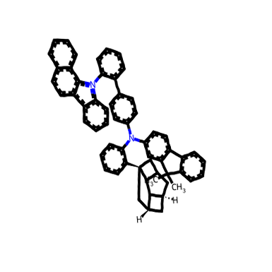 CC1(C)c2ccccc2-c2ccc(N(c3ccc(-c4ccccc4-n4c5ccccc5c5ccc6ccccc6c54)cc3)c3ccccc3[C@]34CC5C[C@H]6C[C@H](C3)C6C54)cc21